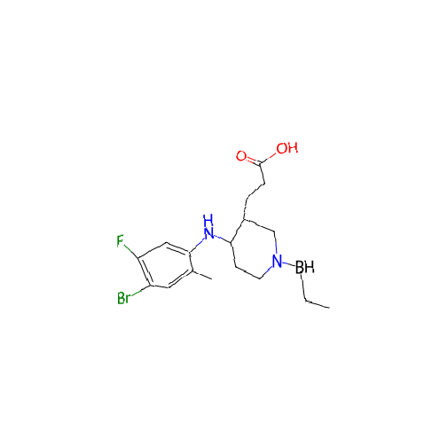 CCBN1CCC(Nc2cc(F)c(Br)cc2C)C(CCC(=O)O)C1